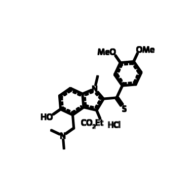 CCOC(=O)c1c(C(=S)c2ccc(OC)c(OC)c2)n(C)c2ccc(O)c(CN(C)C)c12.Cl